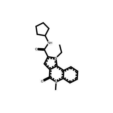 CCn1c(C(=O)NC2CCCC2)cc2c(=O)n(C)c3ccccc3c21